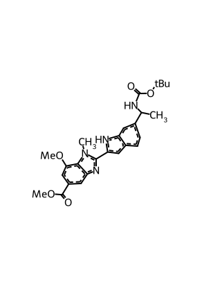 COC(=O)c1cc(OC)c2c(c1)nc(-c1cc3ccc(C(C)NC(=O)OC(C)(C)C)cc3[nH]1)n2C